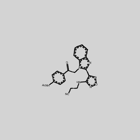 CC(=O)Nc1ccc(C(=O)Cn2c(-c3nonc3NCCC#N)nc3ccccc32)cc1